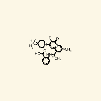 Cc1cc([C@@H](C)Nc2ccccc2C(=O)O)c2nc(N3CCC(C)(C)CC3)c(F)c(=O)n2c1